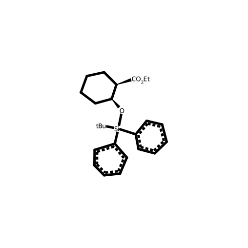 CCOC(=O)[C@@H]1CCCC[C@@H]1O[Si](c1ccccc1)(c1ccccc1)C(C)(C)C